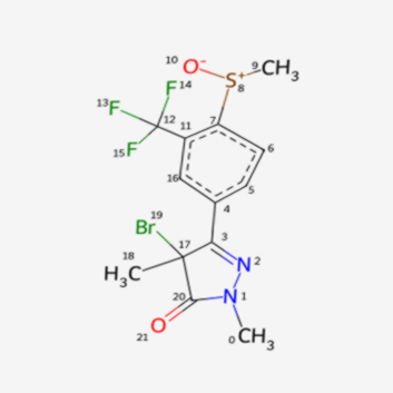 CN1N=C(c2ccc([S+](C)[O-])c(C(F)(F)F)c2)C(C)(Br)C1=O